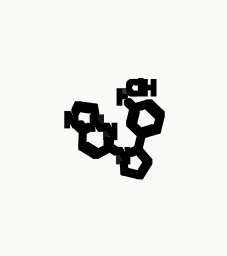 Cl.Fc1cccc(C2CCCN2c2ccc3nccn3n2)c1